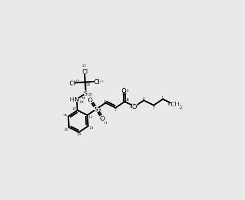 CCCCOC(=O)C=CS(=O)(=O)c1ccccc1NSC(Cl)(Cl)Cl